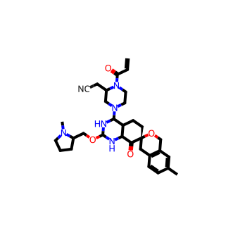 C=CC(=O)N1CCN(C2NC(OCC3CCCN3C)NC3C(=O)[C@@]4(CCC32)Cc2ccc(C)cc2CO4)CC1CC#N